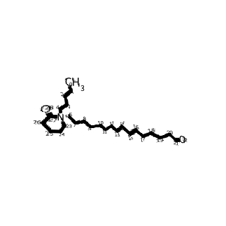 CCCCC[N+]1(CCCCCCCCCCCCCCCC=O)CCCCC1=O